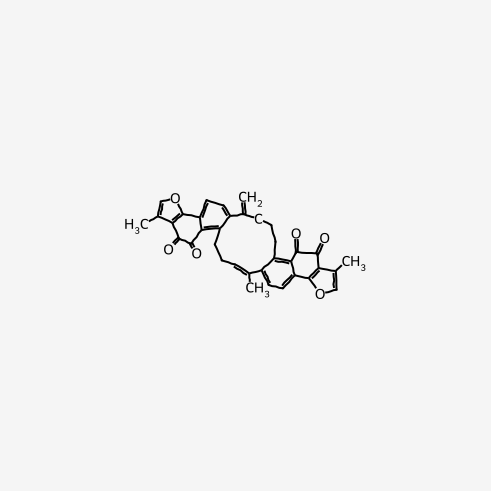 C=C1CCCc2c(ccc3c2C(=O)C(=O)c2c(C)coc2-3)/C(C)=C/CCc2c1ccc1c2C(=O)C(=O)c2c(C)coc2-1